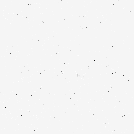 CC(C)=CCC1(C)C(C)CCN(Cc2ccccc2)C1C.Cl